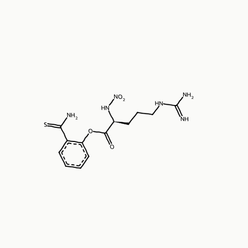 N=C(N)NCCC[C@H](N[N+](=O)[O-])C(=O)Oc1ccccc1C(N)=S